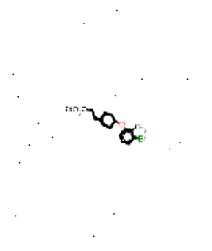 CCOC(=O)CCC1CCC(Oc2cccc(Br)c2C(F)(F)F)CC1